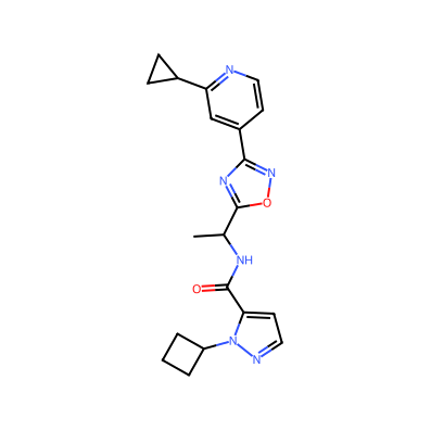 CC(NC(=O)c1ccnn1C1CCC1)c1nc(-c2ccnc(C3CC3)c2)no1